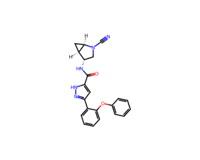 N#CN1C[C@H](NC(=O)c2cc(-c3ccccc3Oc3ccccc3)n[nH]2)[C@H]2C[C@H]21